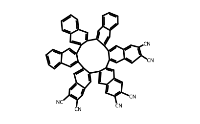 N#Cc1cc2cc3c(cc2cc1C#N)-c1cc2cc(C#N)c(C#N)cc2cc1-c1cc2cc(C#N)c(C#N)cc2cc1-c1cc2ccccc2cc1-c1cc2ccccc2cc1-c1cc2ccccc2cc1-3